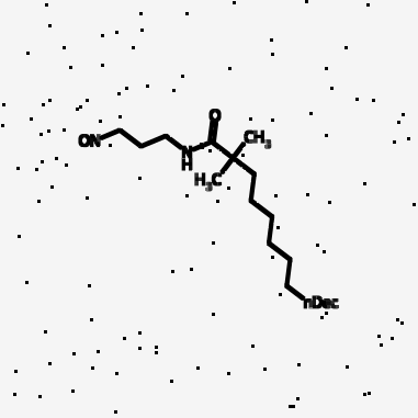 CCCCCCCCCCCCCCCCC(C)(C)C(=O)NCCCN=O